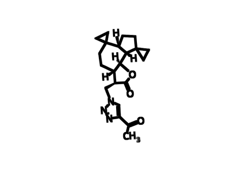 CC(=O)c1cn(C[C@@H]2C(=O)O[C@H]3[C@H]2CCC2(CC2)[C@@H]2CCC4(CC4)[C@H]32)nn1